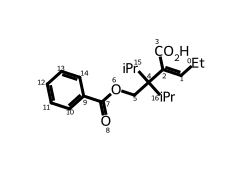 CCC=C(C(=O)O)C(COC(=O)c1ccccc1)(C(C)C)C(C)C